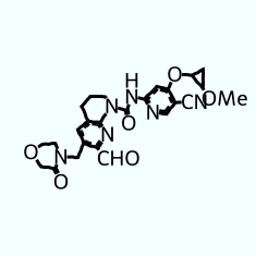 COC1CC1Oc1cc(NC(=O)N2CCCc3cc(CN4CCOCC4=O)c(C=O)nc32)ncc1C#N